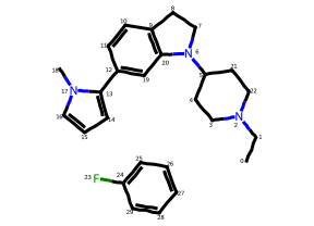 CCN1CCC(N2CCc3ccc(-c4cccn4C)cc32)CC1.Fc1ccccc1